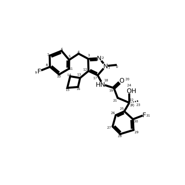 Cn1nc(Cc2ccc(F)cc2)c(C2CCC2)c1NC(=O)C[C@@](C)(O)c1ccccc1F